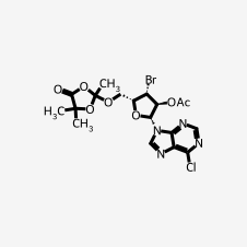 CC(=O)O[C@@H]1[C@@H](Br)[C@@H](COC2(C)OC(=O)C(C)(C)O2)O[C@H]1n1cnc2c(Cl)ncnc21